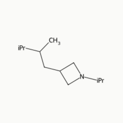 CC(C)C(C)CC1CN(C(C)C)C1